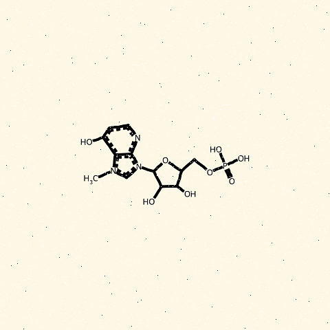 C[n+]1cn(C2OC(COP(=O)(O)O)C(O)C2O)c2nccc(O)c21